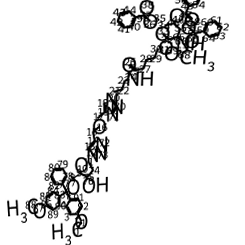 COc1ccc(C(OC[C@H]2O[C@H](n3cc(COCc4cn(CCCNC(=O)CCCCO[C@@H]5O[C@H](COC(=O)c6ccccc6)[C@H](OC(=O)c6ccccc6)[C@H](OC(=O)c6ccccc6)[C@H]5NC(C)=O)nn4)nn3)CC2O)(c2ccccc2)c2ccc(OC)cc2)cc1